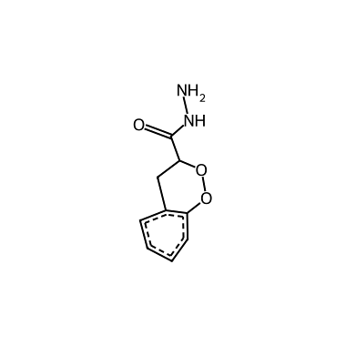 NNC(=O)C1Cc2ccccc2OO1